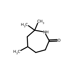 CC1CCC(=O)NC(C)(C)C1